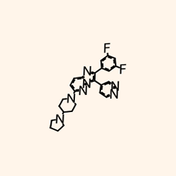 Fc1cc(F)cc(-c2nc3ccc(N4CCC(N5CCCC5)CC4)nn3c2-c2ccnnc2)c1